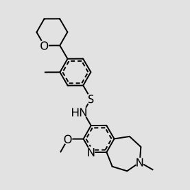 COc1nc2c(cc1NSc1ccc(C3CCCCO3)c(C)c1)CCN(C)CC2